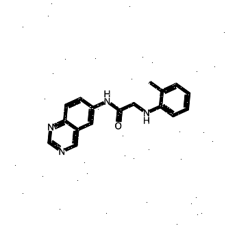 Cc1ccccc1NCC(=O)Nc1ccc2ncncc2c1